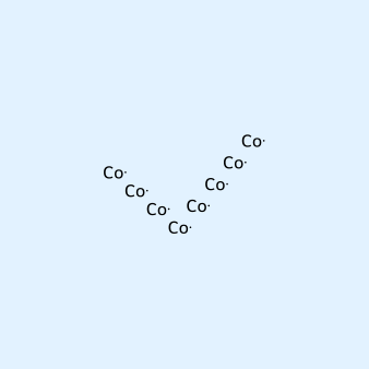 [Co].[Co].[Co].[Co].[Co].[Co].[Co].[Co]